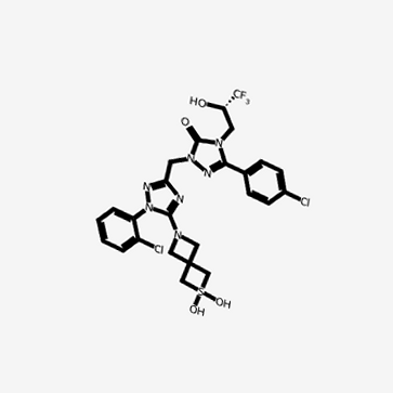 O=c1n(Cc2nc(N3CC4(C3)CS(O)(O)C4)n(-c3ccccc3Cl)n2)nc(-c2ccc(Cl)cc2)n1C[C@H](O)C(F)(F)F